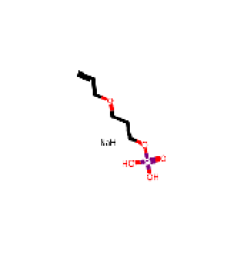 C=CCOCCCOP(=O)(O)O.[NaH]